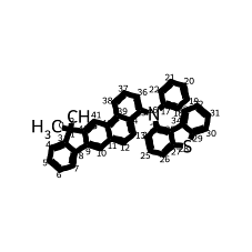 CC1(C)c2ccccc2-c2cc3ccc4c(N(c5ccccc5)c5cccc6sc7ccccc7c56)cccc4c3cc21